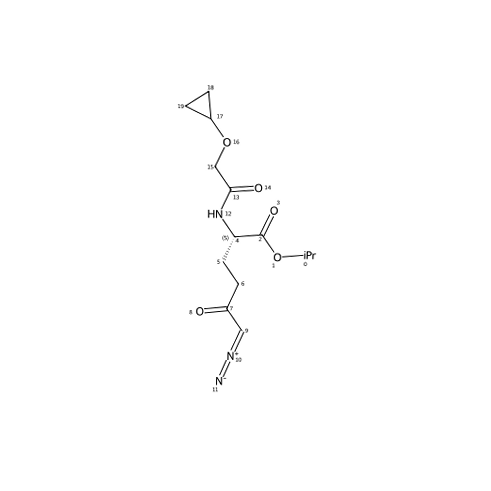 CC(C)OC(=O)[C@H](CCC(=O)C=[N+]=[N-])NC(=O)COC1CC1